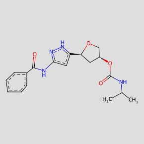 CC(C)NC(=O)O[C@@H]1CO[C@H](c2cc(NC(=O)c3ccccc3)n[nH]2)C1